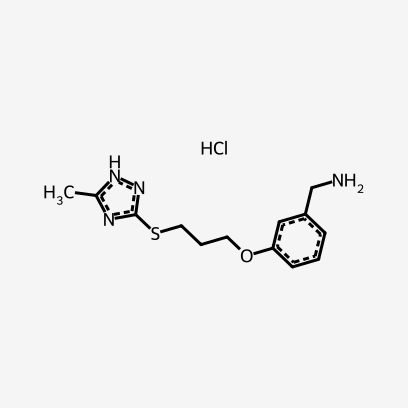 Cc1nc(SCCCOc2cccc(CN)c2)n[nH]1.Cl